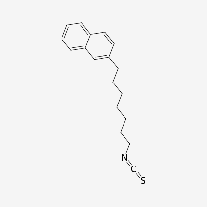 S=C=NCCCCCCCc1ccc2ccccc2c1